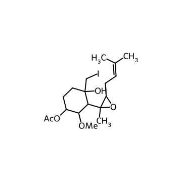 COC1C(OC(C)=O)CCC(O)(CI)C1C1(C)OC1CC=C(C)C